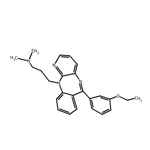 CCOc1cccc(C2=Nc3cccnc3N(CCCN(C)C)c3ccccc32)c1